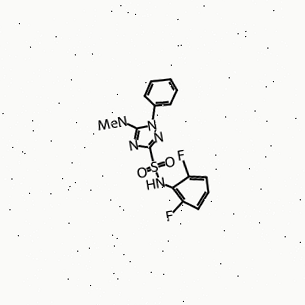 CNc1nc(S(=O)(=O)Nc2c(F)cccc2F)nn1-c1ccccc1